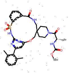 CCC[C@H](NC(=O)OC(C)(C)C)C(=O)N1CCC2(CC1)CNC(=O)c1cccc(c1)S(=O)(=O)Nc1nc(cc(-c3c(C)cccc3C)n1)OC2